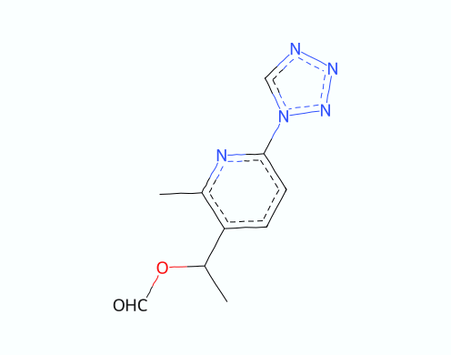 Cc1nc(-n2cnnn2)ccc1C(C)OC=O